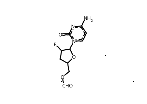 Nc1ccn(C2OC(COC=O)CC2F)c(=O)n1